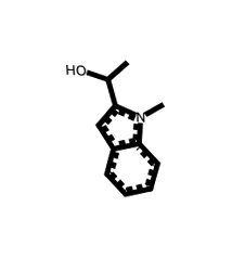 CC(O)c1cc2ccccc2n1C